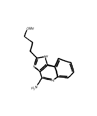 COCCCc1nc2c(N)nc3ccccc3c2[nH]1